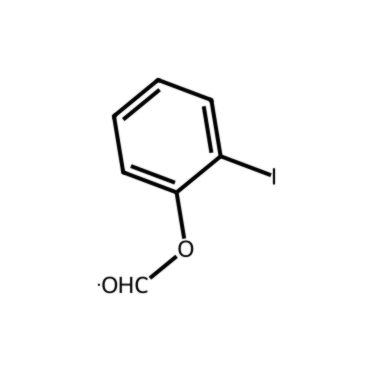 O=[C]Oc1ccccc1I